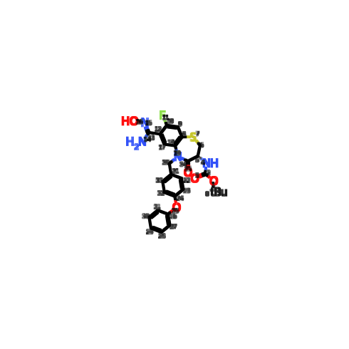 CC(C)(C)OC(=O)N[C@H]1CSc2cc(F)c(/C(N)=N/O)cc2N(Cc2ccc(Oc3ccccc3)cc2)C1=O